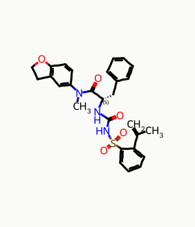 C=C(C)c1ccccc1S(=O)(=O)NC(=O)N[C@@H](Cc1ccccc1)C(=O)N(C)c1ccc2c(c1)CCO2